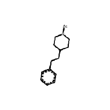 CC(=O)N1CCC(CCc2ccccc2)CC1